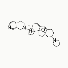 C[C@]12CC=C3C=C4CC[C@H](N5CCCC5)C[C@]45CC[C@]3(O5)[C@@H]1CC[C@@H]2N1CCc2ccncc2C1